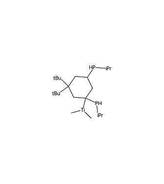 CC(C)PC1C[C](PC(C)C)([Ti]([CH3])[CH3])CC(C(C)(C)C)(C(C)(C)C)C1